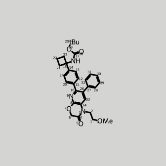 COCCN1C(=O)COc2nc(-c3ccc(C4(NC(=O)OC(C)(C)C)CCC4)cc3)c(-c3ccccc3)cc21